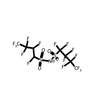 O=S(=O)(NS(=O)(=O)C(F)(F)C(F)(F)C(F)(F)C(F)(F)F)C(F)C(F)C(F)(F)C(F)(F)F